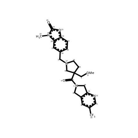 COCC1(C(=O)N2Cc3cc(C(F)(F)F)cnc3C2)CCN(Cc2ccc3oc(=O)n(C)c3c2)C1